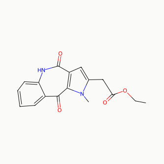 CCOC(=O)Cc1cc2c(=O)[nH]c3ccccc3c(=O)c2n1C